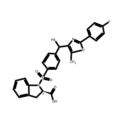 Cc1oc(-c2ccc(F)cc2)nc1C(S)c1ccc(S(=O)(=O)N2c3ccccc3C[C@@H]2C(=O)O)cc1